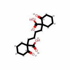 O=C(O)C1(CCCCC2(C(=O)O)CCCCC2=O)CCCCC1=O